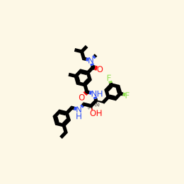 CCc1cccc(CNC[C@@H](O)[C@H](Cc2cc(F)cc(F)c2)NC(=O)c2cc(C)cc(C(=O)N(C)CC(C)C)c2)c1